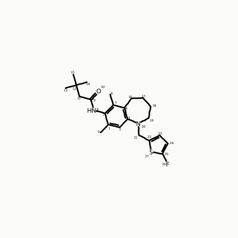 Cc1cc2c(c(C)c1NC(=O)CC(C)(C)C)CCCCN2Cc1ccc(F)s1